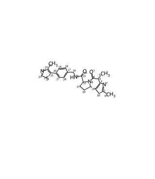 CC1=NC(C(C)C(=O)N2CCCC2C(=O)NCc2ccc(-c3scnc3C)cc2)=CC1